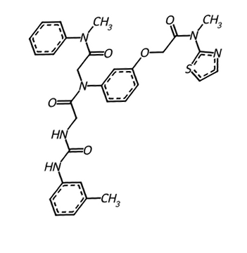 Cc1cccc(NC(=O)NCC(=O)N(CC(=O)N(C)c2ccccc2)c2cccc(OCC(=O)N(C)c3nccs3)c2)c1